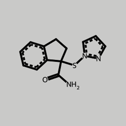 NC(=O)C1(Sn2cccn2)CCc2ccccc21